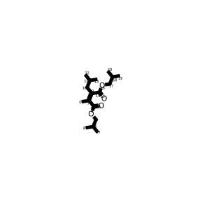 C/C(C(=O)OCC(C)C)=C(\CC(C)C)C(=O)OCC(C)C